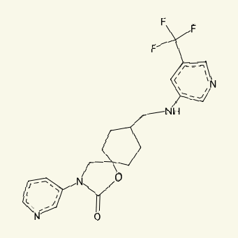 O=C1OC2(CCC(CNc3cncc(C(F)(F)F)c3)CC2)CN1c1cccnc1